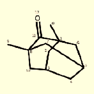 CC12CC3CC(C1)CC(C)(C3)C2=O